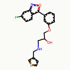 OC(CNCc1ccsc1)COc1cccc(-c2onc3cc(F)ccc23)c1